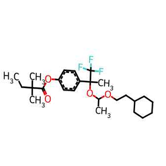 CCC(C)(C)C(=O)Oc1ccc(C(C)(OC(C)OCCC2CCCCC2)C(F)(F)F)cc1